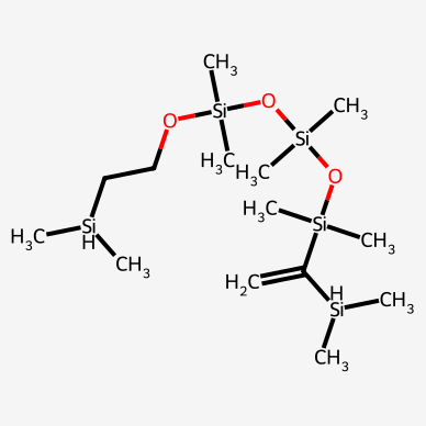 C=C([SiH](C)C)[Si](C)(C)O[Si](C)(C)O[Si](C)(C)OCC[SiH](C)C